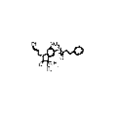 CC/C=C/CN1C(=O)C(C)(C)c2cc(NC(=O)CCc3ccccc3)c([N+](=O)[O-])cc21